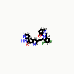 C[C@@]1(c2cc(F)cc(F)c2)CN([11CH3])C2(CCCC2)C(=O)N1CC#Cc1cnc2c(c1)C[C@@]1(C2)C(=O)Nc2ncccc21